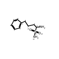 NC(CCCc1ccccc1)S(N)(=O)=O